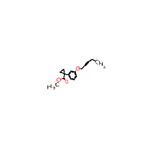 CCC#CCOc1cccc(C2(C(=O)OC)CC2)c1